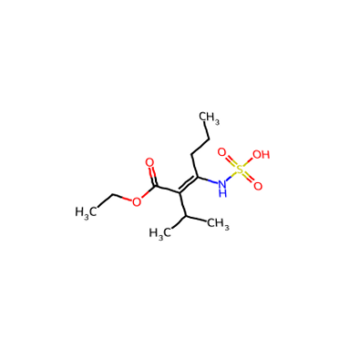 CCCC(NS(=O)(=O)O)=C(C(=O)OCC)C(C)C